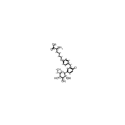 CS[C@H]1O[C@@H](c2ccc(Cl)c(Cc3ccc(OCCCCC(N)C(=O)O)cc3)c2)[C@H](O)[C@@H](O)[C@@H]1O